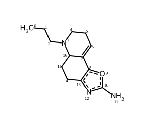 CCCN1CCC=C2c3oc(N)nc3CCC21